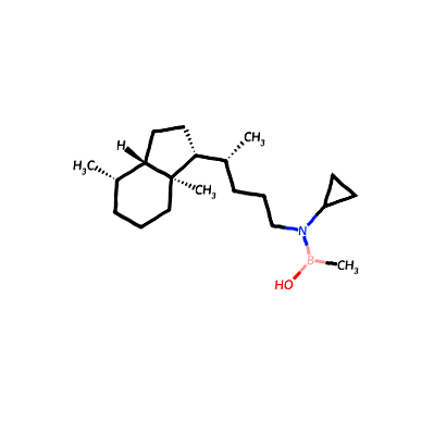 CB(O)N(CCC[C@@H](C)[C@H]1CC[C@H]2[C@@H](C)CCC[C@]12C)C1CC1